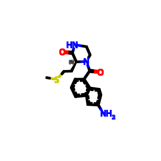 CSCC[C@H]1C(=O)NCCN1C(=O)c1cccc2cc(N)ccc12